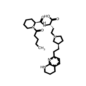 CCCCC(=O)N1CCCC[C@H]1C(=O)N[C@@H](CCN1CC[C@@H](CCc2ccc3c(n2)NCCC3)C1)C(=O)O